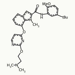 COc1ccc(C(C)(C)C)cc1NC(=O)c1cc2cccc(Oc3ccnc(OCCN(C)C)n3)c2n1C